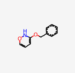 C1=CONC(OCc2ccccc2)=C1